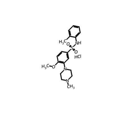 COc1ccc(S(=O)(=O)Nc2ccccc2C)cc1N1CCN(C)CC1.Cl